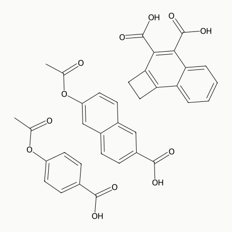 CC(=O)Oc1ccc(C(=O)O)cc1.CC(=O)Oc1ccc2cc(C(=O)O)ccc2c1.O=C(O)c1c2c(c3ccccc3c1C(=O)O)CC2